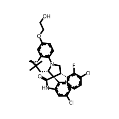 COc1cc(OCCO)ccc1N1C[C@H](c2cccc(Cl)c2F)[C@]2(C(=O)Nc3cc(Cl)cnc32)[C@@H]1CC(C)(C)C